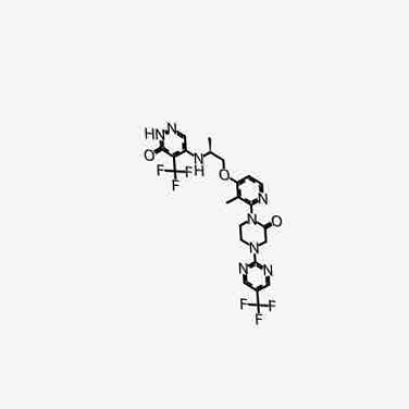 Cc1c(OC[C@H](C)Nc2cn[nH]c(=O)c2C(F)(F)F)ccnc1N1CCN(c2ncc(C(F)(F)F)cn2)CC1=O